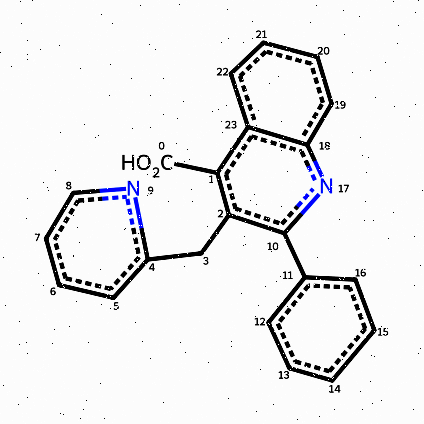 O=C(O)c1c(Cc2ccccn2)c(-c2ccccc2)nc2ccccc12